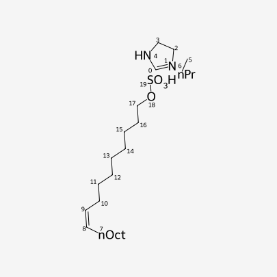 C1=NCCN1.CCCC.CCCCCCCC/C=C\CCCCCCCCOS(=O)(=O)O